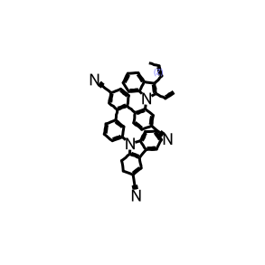 C=Cc1c(/C=C\C)c2ccccc2n1-c1cc(C#N)ccc1-c1ccc(C#N)cc1-c1cccc(-n2c3c(c4ccccc42)C=C(C#N)CC3)c1